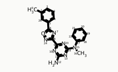 Cc1cccc(-c2nc(-c3nc(N)nc(N(C)c4ccccc4)n3)no2)c1